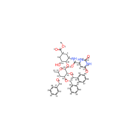 COC(=O)C1CC(NC(=O)c2cc(=O)[nH]c(=O)[nH]2)C(O[C@@H]2OC(C)[C@@H](OCc3ccccc3)C(OCc3ccccc3)C2OCc2ccccc2)[C@H](O)C1